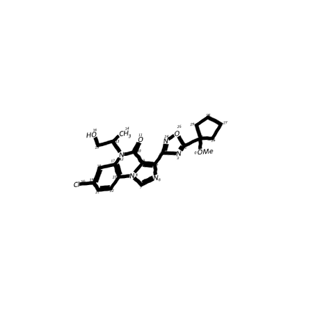 COC1(c2nc(-c3ncn4c3c(=O)n(C(C)CO)c3cc(Cl)ccc34)no2)CCCC1